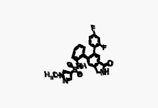 Cn1cc(S(=O)(=O)Nc2ccccc2-c2cc3c(cc2-c2ccc(F)cc2F)C(=O)NC3)cn1